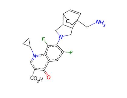 NCC12C=CC(CC1)C1CN(c3c(F)cc4c(=O)c(C(=O)O)cn(C5CC5)c4c3F)CC12